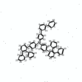 c1ccc(-c2cccc(-c3ccc(N(c4ccc(-c5cccc(-c6ccccc6)c5-c5ccccc5)cc4)c4ccc(-c5cccc(-c6ccccc6)c5-c5ccccc5)cc4)cc3)c2)cc1